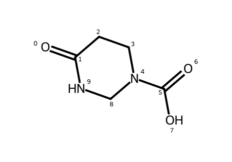 O=C1CCN(C(=O)O)CN1